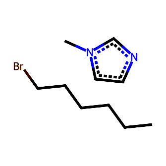 CCCCCCBr.Cn1ccnc1